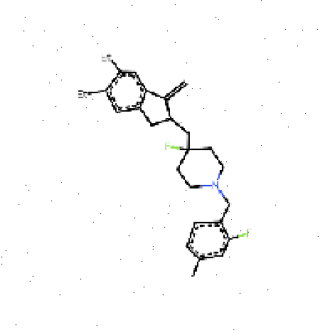 C=C1c2cc(CC)c(CC)cc2CC1CC1(F)CCN(Cc2ccc(C)cc2F)CC1